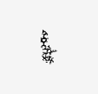 Cc1ncsc1-c1ccc(C(C)NC(=O)C2CC(O)CN2C(=O)C(NC(=O)C(C)(C)C)C(C)(C)C)cc1